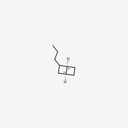 ICCC1C[C@@H]2CC[C@H]12